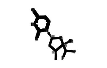 CC[C@@]1(C(F)F)O[C@@H](n2ccc(=O)[nH]c2=O)C[C@@H]1C